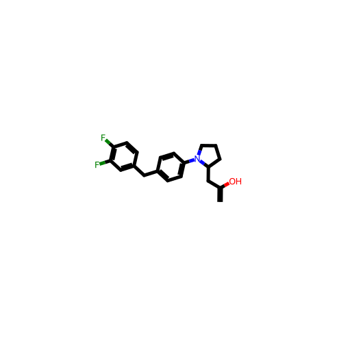 C=C(O)CC1CCCN1c1ccc(Cc2ccc(F)c(F)c2)cc1